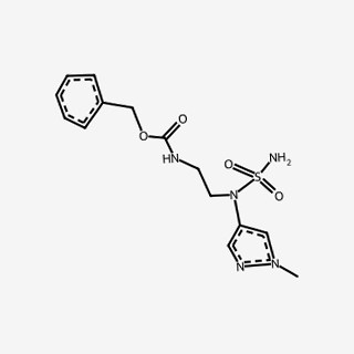 Cn1cc(N(CCNC(=O)OCc2ccccc2)S(N)(=O)=O)cn1